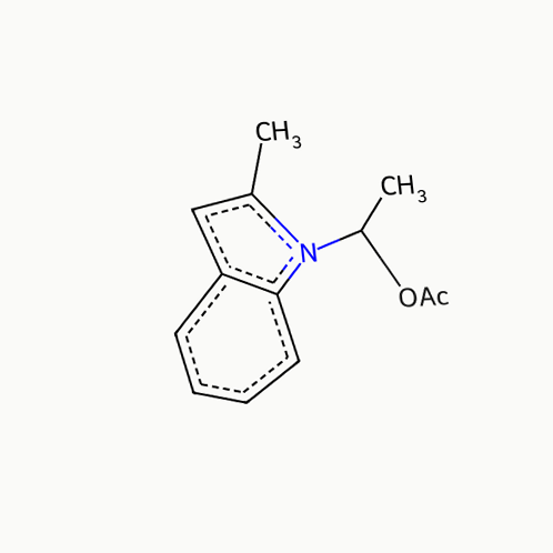 CC(=O)OC(C)n1c(C)cc2ccccc21